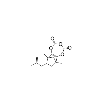 C=C(C)CC1CC2(C)CC1(C)C1=C2OC(=O)OC(=O)O1